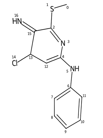 CSC1=NC(Nc2ccccc2)=CC(Cl)C1=N